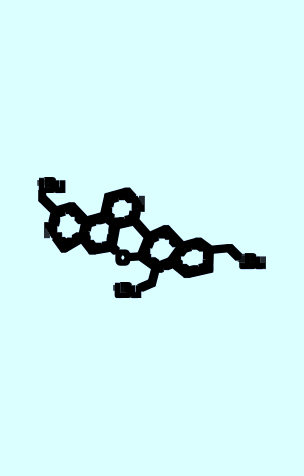 CC(C)(C)Cc1ccc2c(CC(C)(C)C)c3c(cc2c1)-c1nccc2c1c(cc1cnc(CC(C)(C)C)cc12)O3